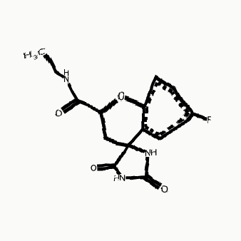 CCNC(=O)C1CC2(NC(=O)NC2=O)c2cc(F)ccc2O1